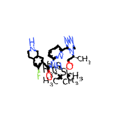 C[C@H](CO[Si](C)(C)C(C)(C)C)n1cnnc1-c1cccc(NC(=O)c2cc3c(cc2F)CCNC3)n1